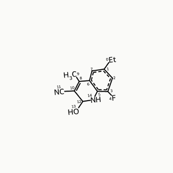 CCc1cc(F)c2c(c1)C(C)=C(C#N)C(O)N2